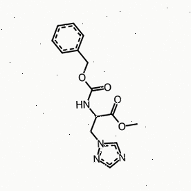 COC(=O)C(Cn1cncn1)NC(=O)OCc1ccccc1